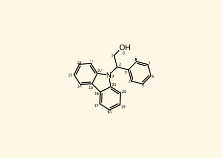 OCC(c1ccccc1)n1c2ccccc2c2ccccc21